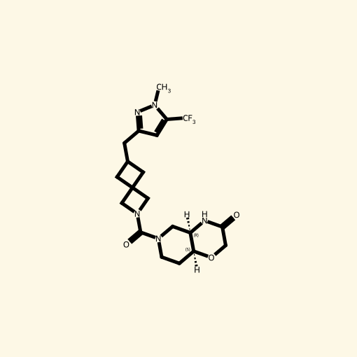 Cn1nc(CC2CC3(C2)CN(C(=O)N2CC[C@@H]4OCC(=O)N[C@@H]4C2)C3)cc1C(F)(F)F